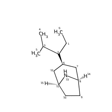 CCC(C(C)C)[C@H]1C[C@H]2CC[C@@H](C1)N2